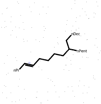 [CH2]CC/C=C/CCCCC(CCCCC)CCCCCCCCCC[CH2]